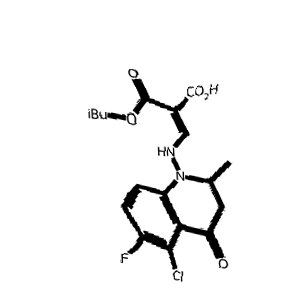 CCC(C)OC(=O)C(=CNN1c2ccc(F)c(Cl)c2C(=O)CC1C)C(=O)O